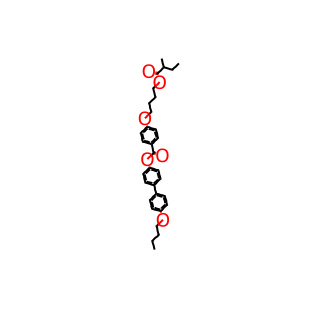 CCCCOc1ccc(-c2ccc(OC(=O)c3ccc(OCCCCOC(=O)C(C)CC)cc3)cc2)cc1